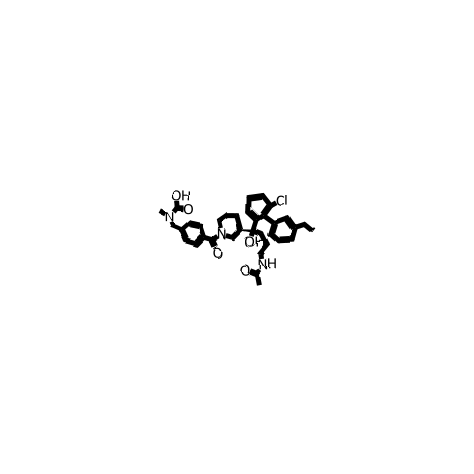 CCc1cccc(-c2c(Cl)cccc2C(O)(CCCNC(C)=O)[C@@H]2CCCN(C(=O)c3ccc(CN(C)C(=O)O)cc3)C2)c1